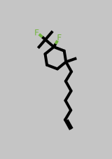 C=CCCCCCC1(C)CCCC(F)(C(C)(C)F)C1